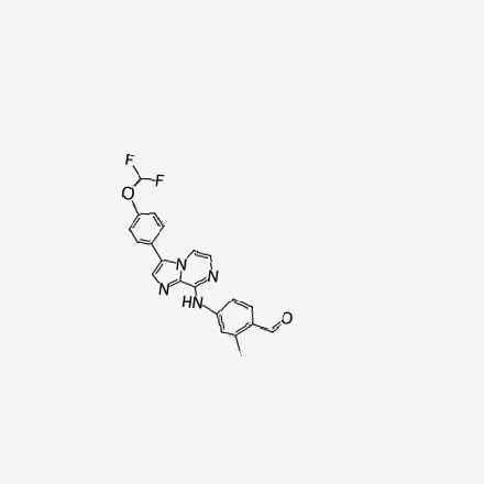 Cc1cc(Nc2nccn3c(-c4ccc(OC(F)F)cc4)cnc23)ccc1C=O